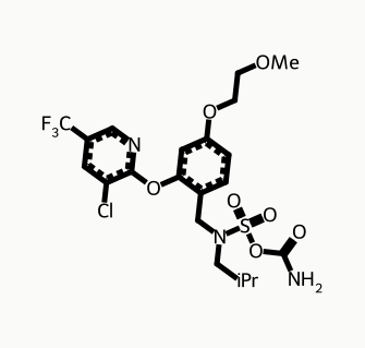 COCCOc1ccc(CN(CC(C)C)S(=O)(=O)OC(N)=O)c(Oc2ncc(C(F)(F)F)cc2Cl)c1